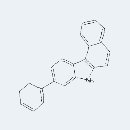 C1=CCCC(c2ccc3c(c2)[nH]c2ccc4ccccc4c23)=C1